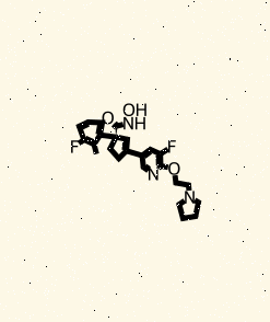 Cc1c(F)cccc1[C@@]1(C(=O)NO)C=C(c2cnc(OCCN3CCCC3)c(F)c2)CC1